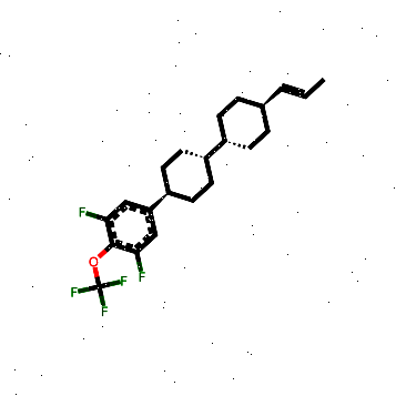 C/C=C/[C@H]1CC[C@H]([C@H]2CC[C@H](c3cc(F)c(OC(F)(F)F)c(F)c3)CC2)CC1